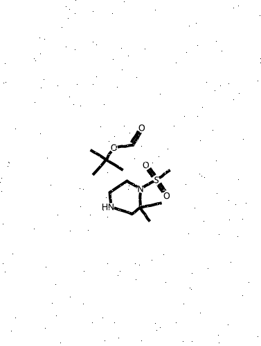 CC(C)(C)OC=O.CC1(C)CNCCN1S(C)(=O)=O